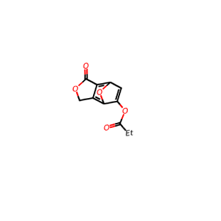 CCC(=O)Oc1cc2oc1c1c2C(=O)OC1